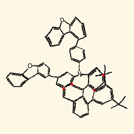 CC(C)(C)c1cc(-c2cccc3cccc(-c4ccccc4N(c4ccc(-c5cccc6oc7ccccc7c56)cc4)c4cccc(-c5ccc6oc7ccccc7c6c5)c4)c23)cc(C(C)(C)C)c1